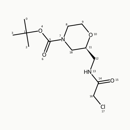 CC(C)(C)OC(=O)N1CCO[C@@H](CNC(=O)CCl)C1